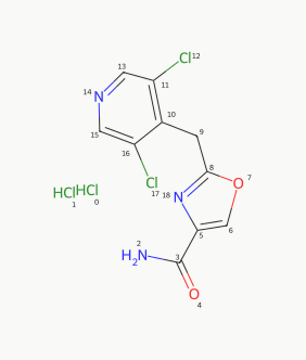 Cl.Cl.NC(=O)c1coc(Cc2c(Cl)cncc2Cl)n1